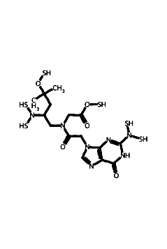 CC(C)(CC(CN(CC(=O)OS)C(=O)Cn1cnc2c(=O)[nH]c(N(S)S)nc21)N(S)S)OS